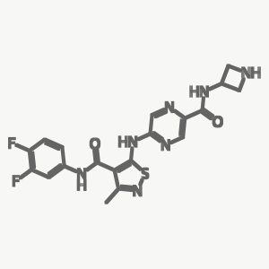 Cc1nsc(Nc2cnc(C(=O)NC3CNC3)cn2)c1C(=O)Nc1ccc(F)c(F)c1